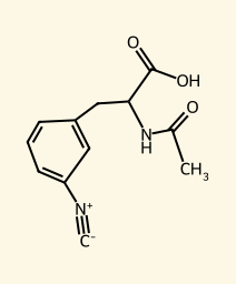 [C-]#[N+]c1cccc(CC(NC(C)=O)C(=O)O)c1